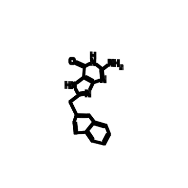 Nc1nc2nc(Cc3ccc4ccccc4c3)[nH]c2c(=O)[nH]1